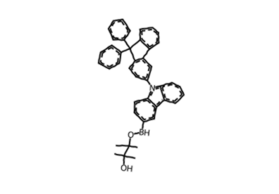 CC(C)(O)C(C)(C)OBc1ccc2c(c1)c1ccccc1n2-c1ccc2c(c1)-c1ccccc1C2(c1ccccc1)c1ccccc1